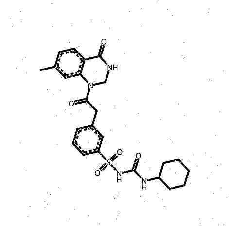 Cc1ccc2c(c1)N(C(=O)Cc1cccc(S(=O)(=O)NC(=O)NC3CCCCC3)c1)CNC2=O